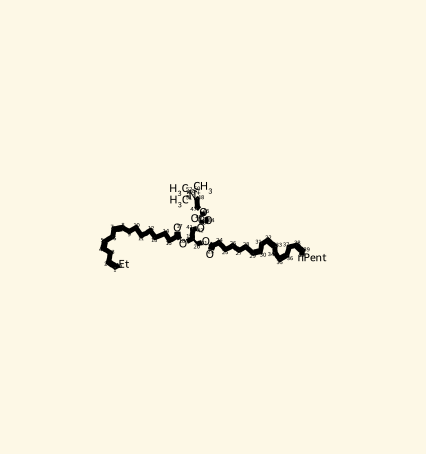 CC/C=C\C/C=C\C/C=C\CCCCCCCC(=O)O[C@H](COC(=O)CCCCC/C=C\C/C=C\C/C=C\C/C=C\CCCCC)COP(=O)([O-])OCC[N+](C)(C)C